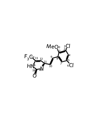 COc1c(Cl)cc(Cl)cc1C=Cc1cc(C(F)(F)F)[nH]c(=O)n1